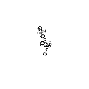 O=C(Nc1ccccn1)c1ccc(Oc2ccnc3cc(OCCN4CCCC4)c([N+](=O)[O-])cc23)cc1